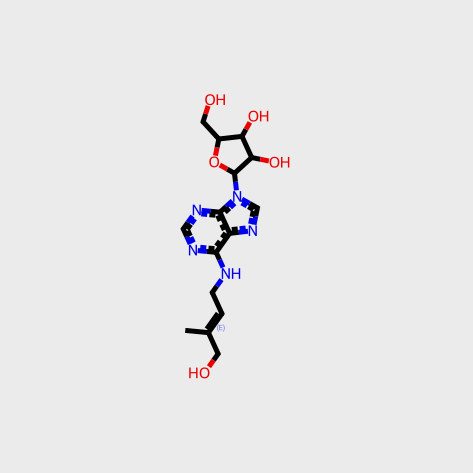 C/C(=C\CNc1ncnc2c1ncn2C1OC(CO)C(O)C1O)CO